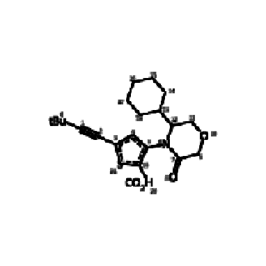 CC(C)(C)C#Cc1cc(N2C(=O)COCC2C2CCCCC2)c(C(=O)O)s1